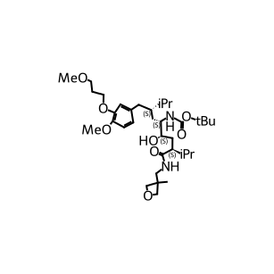 COCCCOc1cc(C[C@@H](C[C@H](NC(=O)OC(C)(C)C)[C@@H](O)C[C@H](C(=O)NCC2(C)COC2)C(C)C)C(C)C)ccc1OC